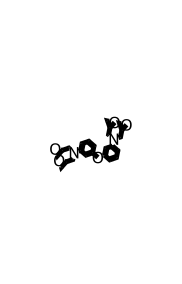 c1cc(Oc2cccc(N(CC3CO3)CC3CO3)c2)cc(N(CC2CO2)CC2CO2)c1